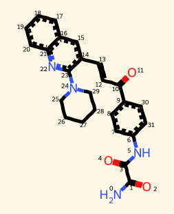 NC(=O)C(=O)Nc1ccc(C(=O)C=Cc2cc3ccccc3nc2N2CCCCC2)cc1